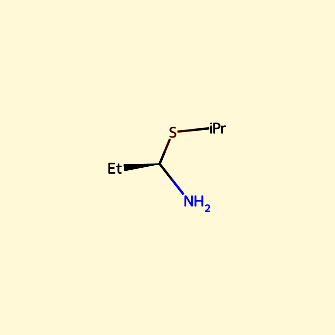 CC[C@H](N)SC(C)C